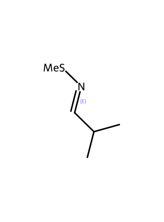 CS/N=C/C(C)C